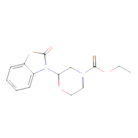 CCOC(=S)N1CCOC(n2c(=O)sc3ccccc32)C1